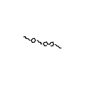 CC=CCC[C@H]1CC[C@H](CCC=C[C@H]2CC[C@H]([C@H]3CC[C@H](CCCCC)CC3)CC2)CC1